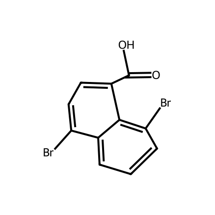 O=C(O)c1ccc(Br)c2cccc(Br)c12